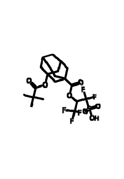 CC(C)(C)C(=O)OC12CC3CC(C1)CC(C(=O)OC(C(F)(F)F)C(F)(F)S(=O)(=O)O)(C3)C2